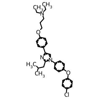 CCN(CC)CCCOc1ccc(-c2cn(-c3ccc(Oc4ccc(Cl)cc4)cc3)c(CC(C)C)n2)cc1